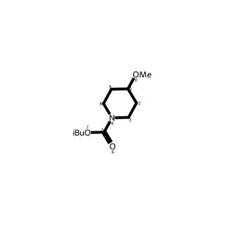 COC1CCN(C(=O)OCC(C)C)CC1